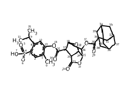 Cc1cc(S(=O)(=O)O)c(C(C)C)cc1OC(=O)C1C2OC3C(OC(=O)C31)C2OC(=O)C12CC3CC(CC(C3)C1)C2